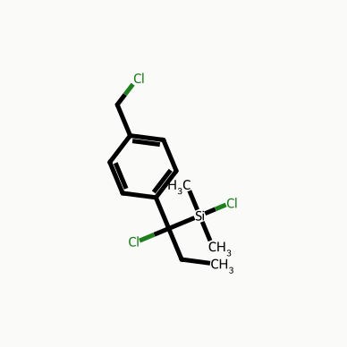 CCC(Cl)(c1ccc(CCl)cc1)[Si](C)(C)Cl